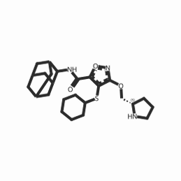 O=C(NC1C2CC3CC(C2)CC1C3)c1onc(OC[C@@H]2CCCN2)c1SC1CCCCC1